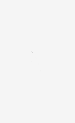 Nc1cc(S(=O)(=O)O)c(O)c(S(=O)(=O)O)c1